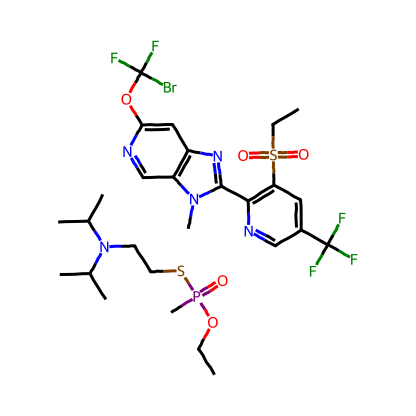 CCOP(C)(=O)SCCN(C(C)C)C(C)C.CCS(=O)(=O)c1cc(C(F)(F)F)cnc1-c1nc2cc(OC(F)(F)Br)ncc2n1C